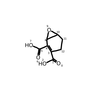 O=C(O)C1=C(C(=O)O)C2OC2CC1